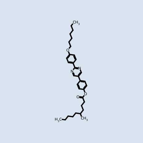 CCCCCCCOc1ccc(-c2ncc(-c3ccc(OC(=O)CCCC(C)CCCCC)cc3)cn2)cc1